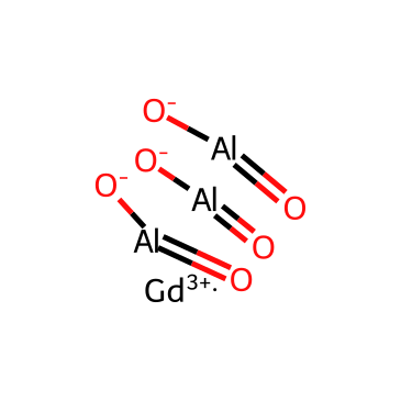 [Gd+3].[O]=[Al][O-].[O]=[Al][O-].[O]=[Al][O-]